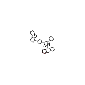 c1ccc(-c2cc(-c3ccc(-c4cccc5c4oc4ccccc45)cc3)nc(C34c5ccccc5C(c5ccccc53)c3ccccc34)n2)cc1